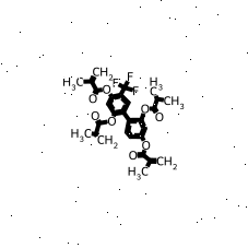 C=C(C)C(=O)Oc1ccc(-c2cc(C(F)(F)F)c(OC(=O)C(=C)C)cc2OC(=O)C(=C)C)c(OC(=O)C(C)C)c1